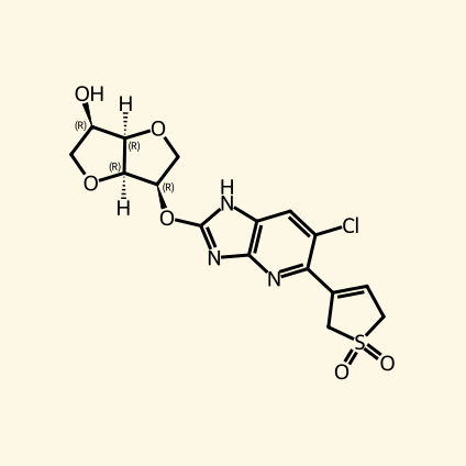 O=S1(=O)CC=C(c2nc3nc(O[C@@H]4CO[C@H]5[C@@H]4OC[C@H]5O)[nH]c3cc2Cl)C1